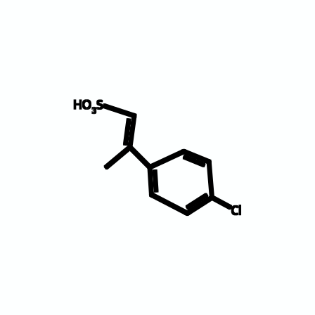 C/C(=C\S(=O)(=O)O)c1ccc(Cl)cc1